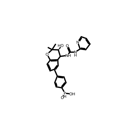 CC1(C)Oc2ccc(-c3ccc([PH](=O)O)cc3)cc2C(NC(=O)Nc2ccccn2)[C@@H]1O